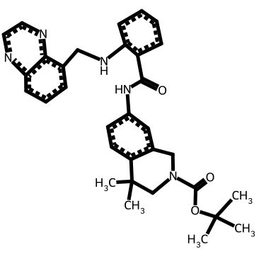 CC(C)(C)OC(=O)N1Cc2cc(NC(=O)c3ccccc3NCc3cccc4nccnc34)ccc2C(C)(C)C1